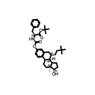 CC(C)(C)CC[C@@H]1Cc2cc(OC(=O)N[C@@H](Cc3ccccc3)C(=O)OC(C)(C)C)ccc2C2CC[C@@]3(C)C(CC[C@@H]3O)[C@@H]21